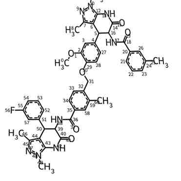 COc1cc(C2c3c(C)nn(C)c3NC(=O)C2NC(=O)c2cccc(C)c2)ccc1OCc1ccc(C(=O)NC2C(=O)Nc3c(c(C)nn3C)C2c2cccc(F)c2)cc1C